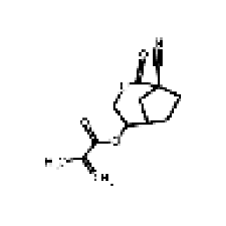 C=C(C)C(=O)OC1COC(=O)C2(C#N)CCC1C2